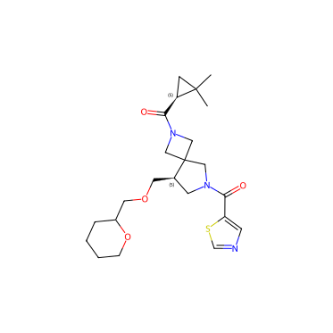 CC1(C)C[C@@H]1C(=O)N1CC2(CN(C(=O)c3cncs3)C[C@H]2COCC2CCCCO2)C1